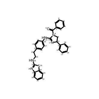 O=C(c1ccccc1)N1CC(c2ccccc2)N=C1Nc1ccc(CCNc2nc3ccccc3s2)cc1